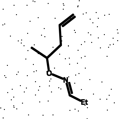 [CH2]C/C=N/OC(C)CC=C